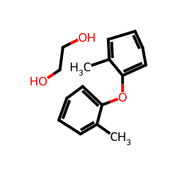 Cc1ccccc1Oc1ccccc1C.OCCO